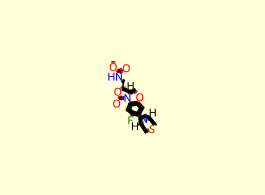 COC(=O)NC[C@@H]1OC(=O)N2c3cc(F)c(N4[C@@H]5CC[C@H]4CSC5)cc3OC[C@@H]12